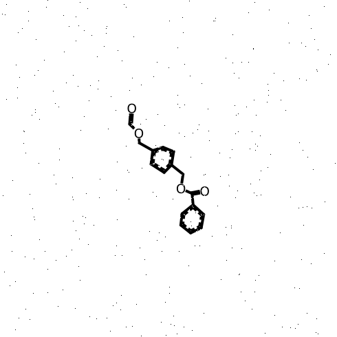 O=COCc1ccc(COC(=O)c2ccccc2)cc1